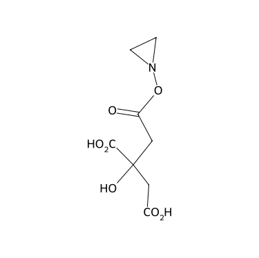 O=C(O)CC(O)(CC(=O)ON1CC1)C(=O)O